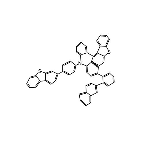 c1ccc(-c2ccc3ccccc3c2)c(-c2ccc(N(c3ccc(-c4ccc5c(c4)sc4ccccc45)cc3)c3ccccc3-c3cccc4sc5ccccc5c34)cc2)c1